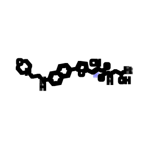 CCC(O)CNS(=O)(=O)/C(C#N)=C/c1ccc(-c2ccc3cc(NCCN4CCOCC4)ccc3c2)o1